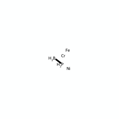 BP.[Cr].[Fe].[Ni]